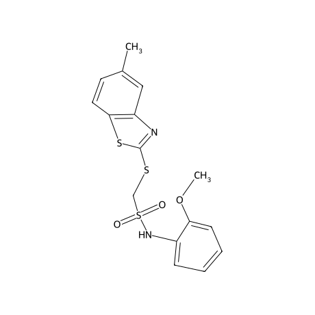 COc1ccccc1NS(=O)(=O)CSc1nc2cc(C)ccc2s1